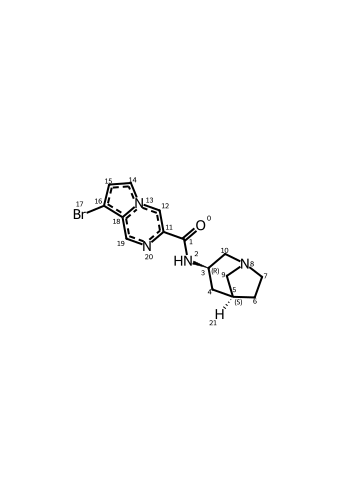 O=C(N[C@@H]1C[C@@H]2CCN(C2)C1)c1cn2ccc(Br)c2cn1